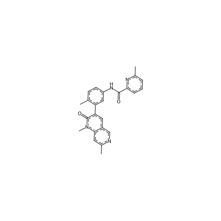 Cc1cc2c(cn1)cc(-c1cc(NC(=O)c3cccc(C)n3)ccc1C)c(=O)n2C